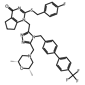 C[C@@H]1CN(Cc2nnc(Cn3c(SCc4ccc(F)cc4)nc(=O)c4c3CCC4)n2Cc2ccc(-c3ccc(C(F)(F)F)cc3)cc2)C[C@H](C)O1